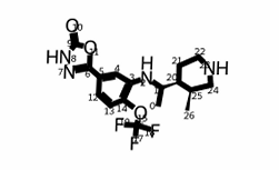 CC(Nc1cc(-c2n[nH]c(=O)o2)ccc1OC(F)(F)F)[C@H]1CCNC[C@H]1C